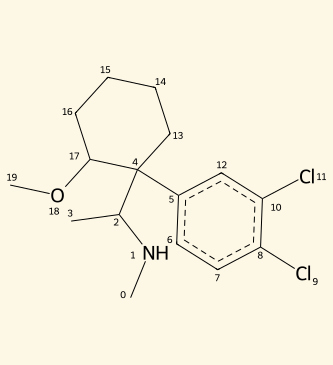 CNC(C)C1(c2ccc(Cl)c(Cl)c2)CCCCC1OC